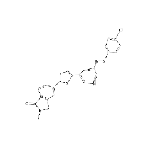 CN1Cc2cc(-c3ccc(-c4cncc(NSc5ccc(Cl)cc5)c4)s3)ccc2C1=O